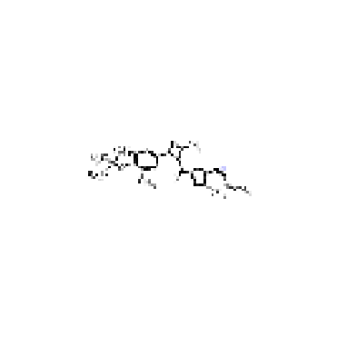 C=C/C=C\c1sc(C(=O)C2C(C)CC2c2cc(C)c(OC(C)(C)C(=O)O)c(C)c2)cc1C